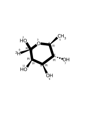 [2H][C@@]1(O)O[C@@H](C)[C@H](O)[C@@H](O)[C@H]1O